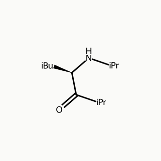 CCC(C)[C@@H](NC(C)C)C(=O)C(C)C